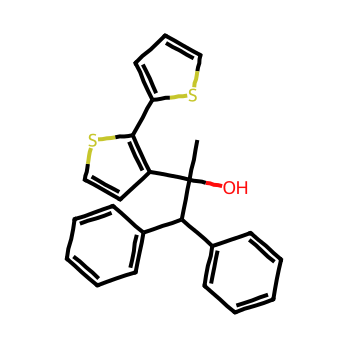 CC(O)(c1ccsc1-c1cccs1)C(c1ccccc1)c1ccccc1